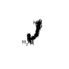 NC(=O)c1nnc(N2CCCCC2)nc1Nc1ccc(C2CCN(CC3CCN(c4ccc5c(=O)n(C6CCC(=O)NC6=O)ccc5c4)C3)CC2)cc1